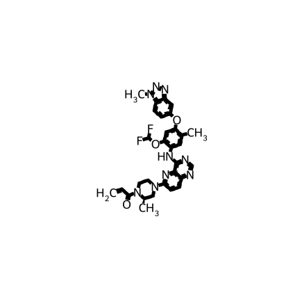 C=CC(=O)N1CCN(c2ccc3ncnc(Nc4cc(C)c(Oc5ccc6c(c5)nnn6C)cc4OC(F)F)c3n2)C[C@H]1C